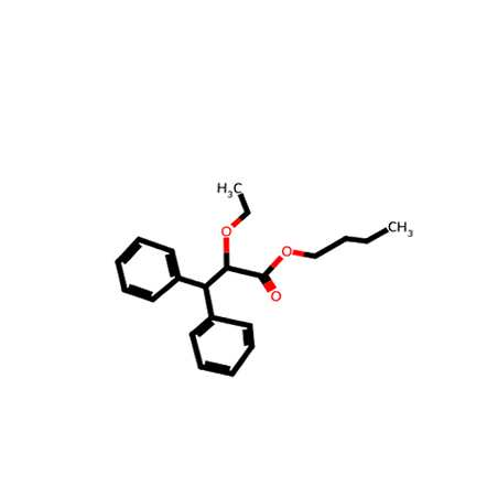 CCCCOC(=O)C(OCC)C(c1ccccc1)c1ccccc1